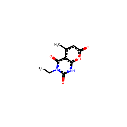 CCn1c(=O)[nH]c2oc(=O)cc(C)c2c1=O